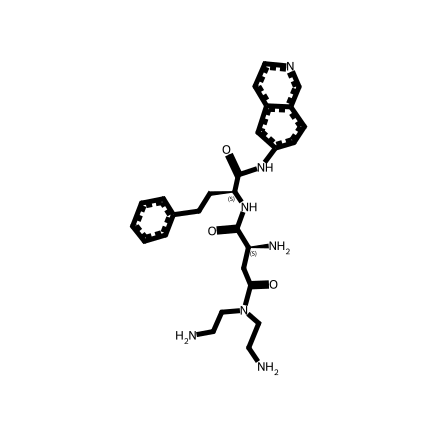 NCCN(CCN)C(=O)C[C@H](N)C(=O)N[C@@H](CCc1ccccc1)C(=O)Nc1ccc2cnccc2c1